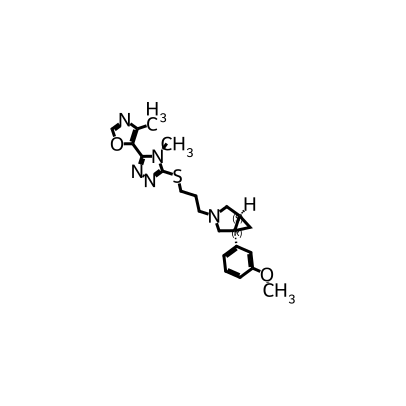 COc1cccc([C@@]23C[C@@H]2CN(CCCSc2nnc(-c4ocnc4C)n2C)C3)c1